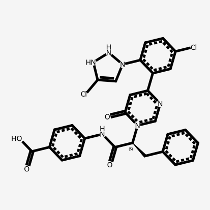 O=C(O)c1ccc(NC(=O)[C@H](Cc2ccccc2)n2cnc(-c3cc(Cl)ccc3N3C=C(Cl)NN3)cc2=O)cc1